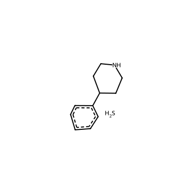 S.c1ccc(C2CCNCC2)cc1